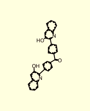 O=C(c1ccc(-c2nc3ccccc3cc2O)cc1)c1ccc(-c2nc3ccccc3cc2O)cc1